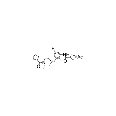 CC(=O)N1CC(C(=O)Nc2cc(F)cc(CN3CCN(C(=O)C4CCCC4)C(C)C3)c2C)C1